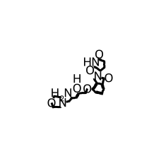 NC(/C=C(\O)COc1cccc2c1CN(C1CCC(=O)NC1=O)C2=O)CN1CCOCC1